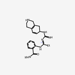 CC/C(=N\C(=N)NC1C=CC2=C(CNCC2)C1)Nc1ccccc1C(=O)NC